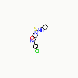 S=C(NCC1CCCCC1)N1CCC2(CC1)CC(c1ccc(Cl)cc1)=NO2